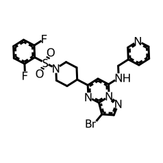 O=S(=O)(c1c(F)cccc1F)N1CCC(c2cc(NCc3cccnc3)n3ncc(Br)c3n2)CC1